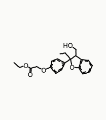 CCOC(=O)COc1ccc(C2(CC)Oc3ccccc3C2CO)cc1